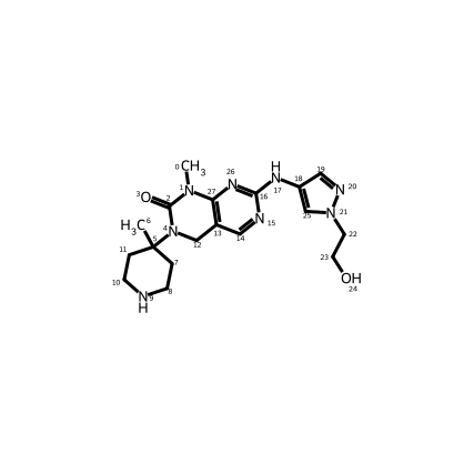 CN1C(=O)N(C2(C)CCNCC2)Cc2cnc(Nc3cnn(CCO)c3)nc21